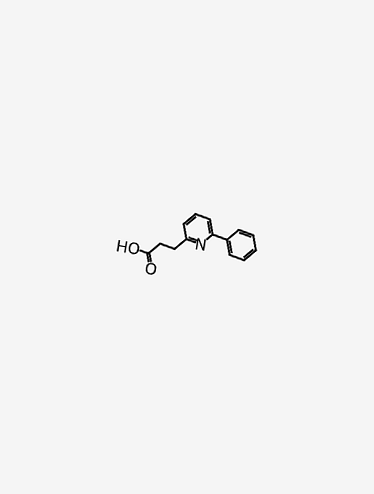 O=C(O)CCc1cccc(-c2ccccc2)n1